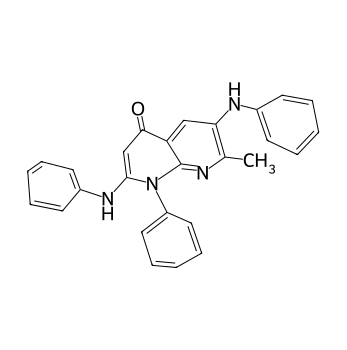 Cc1nc2c(cc1Nc1ccccc1)c(=O)cc(Nc1ccccc1)n2-c1ccccc1